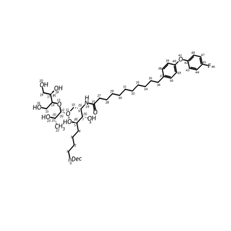 CCCCCCCCCCCCCC[C@@H](O)[C@@H](O)[C@H](CO[C@@H](OC(CO)[C@H](O)CO)[C@H](C)O)NC(=O)CCCCCCCCCCc1ccc(Oc2ccc(F)cc2)cc1